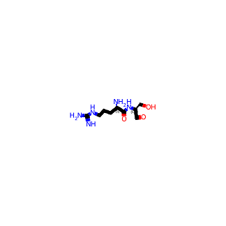 N=C(N)NCCC[C@H](N)C(=O)N[C@H]([C]=O)CO